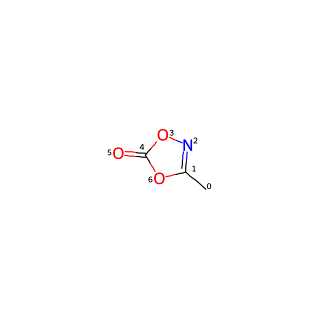 Cc1noc(=O)o1